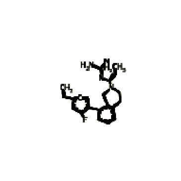 C=Cc1ccc(-c2cccc3c2CN(C(=CC)N=C(N)N)CC3)c(F)c1